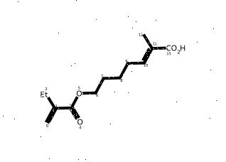 C=C(CC)C(=O)OCCCCC=C(C)C(=O)O